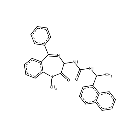 CC(NC(=O)NC1N=C(c2ccccc2)c2ccccc2N(C)C1=O)c1cccc2ccccc12